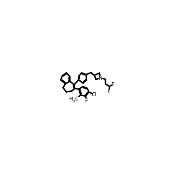 Cc1c(C2=C(c3ccc(CC4CN(CCC(F)F)C4)cc3)c3ccccc3CCC2)ccc(Cl)c1F